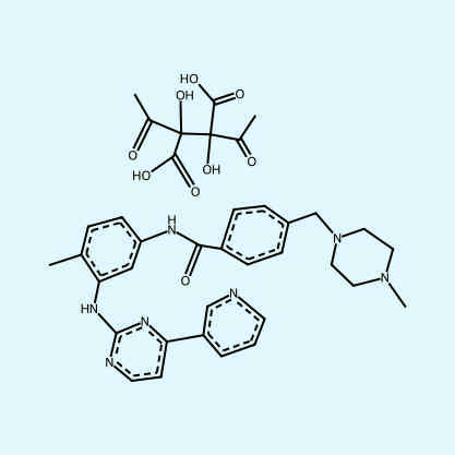 CC(=O)C(O)(C(=O)O)C(O)(C(C)=O)C(=O)O.Cc1ccc(NC(=O)c2ccc(CN3CCN(C)CC3)cc2)cc1Nc1nccc(-c2cccnc2)n1